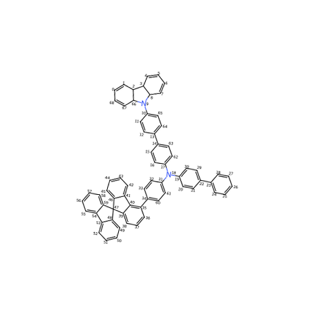 C1=CC2C3C=CC=CC3N(c3ccc(-c4ccc(N(c5ccc(-c6ccccc6)cc5)c5ccc(-c6cccc7c6-c6ccccc6C76c7ccccc7-c7ccccc76)cc5)cc4)cc3)C2C=C1